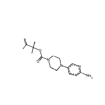 C=C(C)C(C)(C)OC(=O)N1CCN(c2ccc(N)nc2)CC1